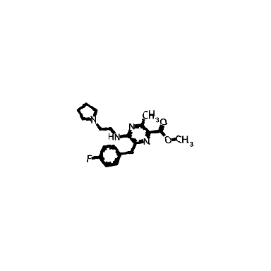 COC(=O)c1nc(Cc2ccc(F)cc2)c(NCCN2CCCC2)nc1C